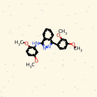 COc1ccc(OC)c(Nc2nnc(-c3ccc(OC)cc3OC)c3ccccc23)c1